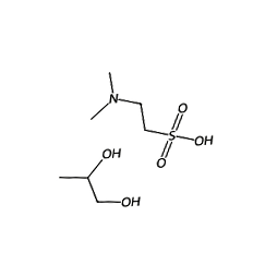 CC(O)CO.CN(C)CCS(=O)(=O)O